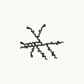 CCC=NOCCOCCN(CCOCCON=CCC)CCN(CCN(CCOCCON=CCC)CCOCCON=CCC)CN(CCN(CCCOCCC#N)CCCOCCC#N)CCN(CCCOCCC#N)CCCOCCC#N